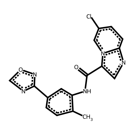 Cc1ccc(-c2ncon2)cc1NC(=O)c1cnc2ccc(Cl)cn12